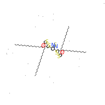 CCCCCCCCCCCCCCCCCCC1(CCCCCCCCCCCCCCCCCC)Oc2ccsc2-c2sc(-c3ccc(-c4cc5c(s4)-c4sccc4OC5(CCCCCCCCCCCCCCC)CCCCCCCCCCCCCCC)c4nsnc34)cc21